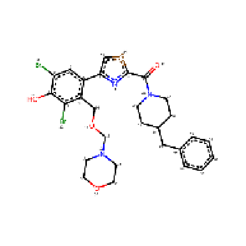 O=C(c1nc(-c2cc(Br)c(O)c(Br)c2COCN2CCOCC2)cs1)N1CCC(Cc2ccccc2)CC1